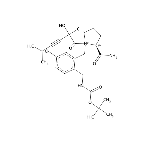 CC(C)C#CC(C)(O)C(=O)[N+]1(Cc2cc(Cl)ccc2CNC(=O)OC(C)(C)C)CCC[C@H]1C(N)=O